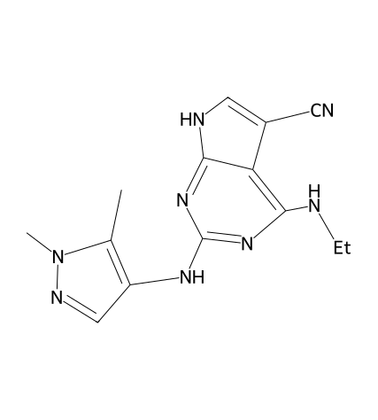 CCNc1nc(Nc2cnn(C)c2C)nc2[nH]cc(C#N)c12